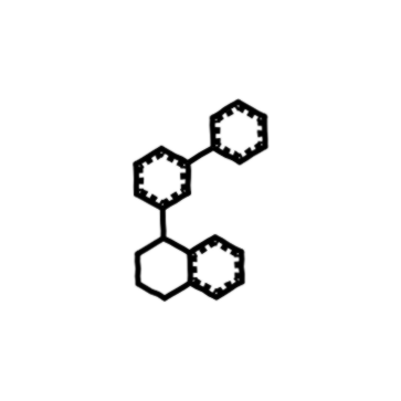 c1ccc(-c2cccc(C3CCCc4ccccc43)c2)cc1